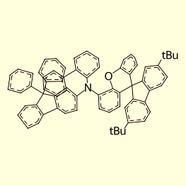 CC(C)(C)c1ccc2c(c1)C1(c3ccccc3Oc3c(N(c4ccc5c(c4)C(c4ccccc4)(c4ccccc4)c4ccccc4-5)c4ccccc4-c4ccccc4)cccc31)c1cc(C(C)(C)C)ccc1-2